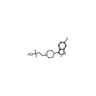 CC(C)(O)CCN1CCC(c2snc3cc(F)ccc23)CC1